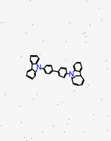 C1=CC2CC(C=C1)N(c1ccc(-c3ccc(-n4c5ccccc5c5ccccc54)cc3)cc1)c1ccccc12